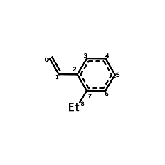 C=Cc1cc[c]cc1CC